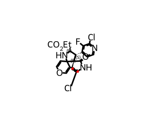 CCOC(=O)[C@@H]1NC2(C=COC=C2)[C@@]2(C(=O)Nc3cc(Cl)ccc32)[C@H]1c1ccnc(Cl)c1F